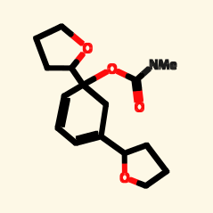 CNC(=O)OC1(C2CCCO2)C=CC=C(C2CCCO2)C1